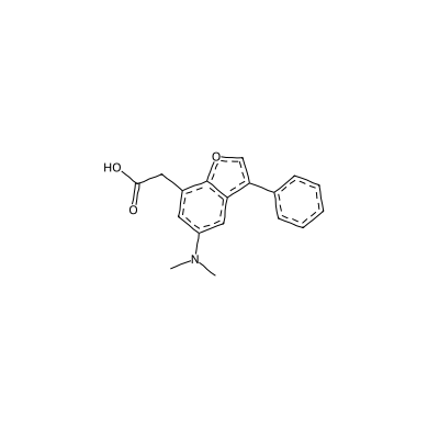 CN(C)c1cc(CC(=O)O)c2occ(-c3ccccc3)c2c1